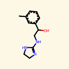 Cc1cccc(C(O)CNC2=NCCN2)c1